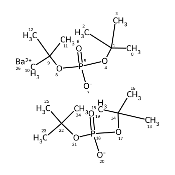 CC(C)(C)OP(=O)([O-])OC(C)(C)C.CC(C)(C)OP(=O)([O-])OC(C)(C)C.[Ba+2]